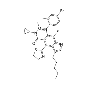 CCCCCn1cnc2c(F)c(Nc3ccc(Br)cc3C)c(C(=O)N(OC)C3CC3)c(C3=NCCS3)c21